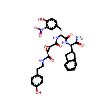 NC(=O)[C@H](NC(=O)[C@@H](Cc1ccc(O)c([N+](=O)[O-])c1)NC(=O)C1O[C@@H]1C(=O)NCCc1ccc(O)cc1)C1Cc2ccccc2C1